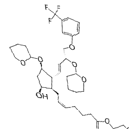 CCCOC(=O)CCC/C=C\C[C@@H]1[C@@H](/C=C/[C@H](COc2cccc(C(F)(F)F)c2)OC2CCCCO2)[C@H](OC2CCCCO2)C[C@@H]1O